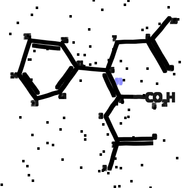 C=C(C)C/C(C(=O)O)=C(/CC(=C)C)c1ccccc1